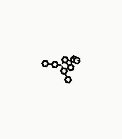 c1ccc(-c2ccc(N(c3ccc(-c4ccccc4)cc3)c3cccc4c3-c3ccccc3C43C4CCC5CC(C4)CC3C5)cc2)cc1